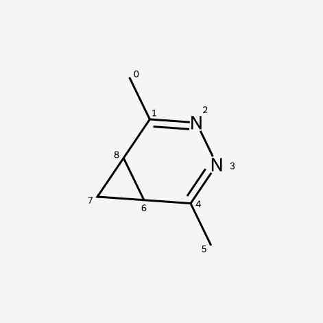 CC1=NN=C(C)C2CC12